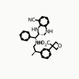 C[C@@H](CN[C@H](c1ccccc1)[C@H]1CNc2cccc(C#N)c2N1)c1cccc(C2(C(=O)O)COC2)c1